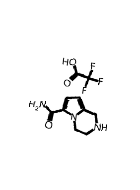 NC(=O)c1ccc2n1CCNC2.O=C(O)C(F)(F)F